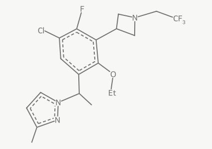 CCOc1c(C(C)n2ccc(C)n2)cc(Cl)c(F)c1C1CN(CC(F)(F)F)C1